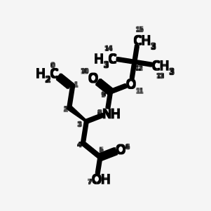 C=CC[C@H](CC(=O)O)NC(=O)OC(C)(C)C